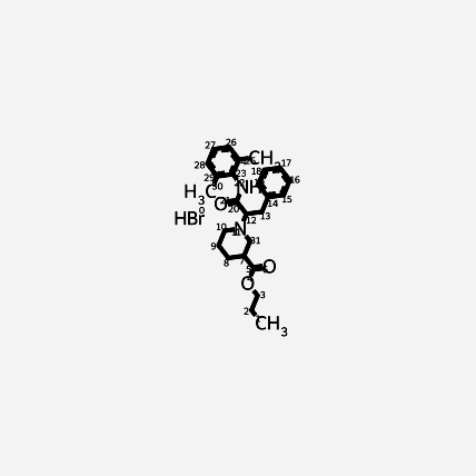 Br.CCCOC(=O)C1CCCN(C(Cc2ccccc2)C(=O)Nc2c(C)cccc2C)C1